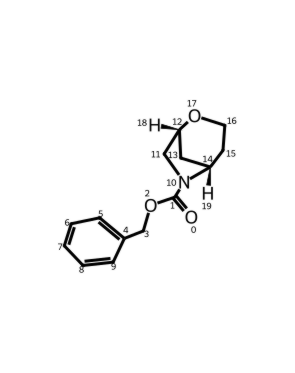 O=C(OCc1ccccc1)N1C[C@H]2C[C@@H]1CCO2